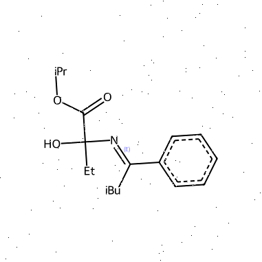 CCC(C)/C(=N\C(O)(CC)C(=O)OC(C)C)c1ccccc1